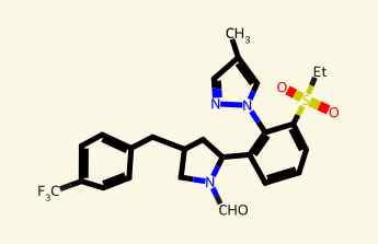 CCS(=O)(=O)c1cccc(C2CC(Cc3ccc(C(F)(F)F)cc3)CN2C=O)c1-n1cc(C)cn1